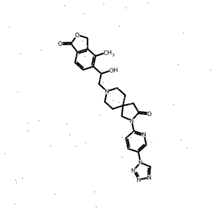 Cc1c(C(O)CN2CCC3(CC2)CC(=O)N(c2ccc(-n4cnnn4)cn2)C3)ccc2c1COC2=O